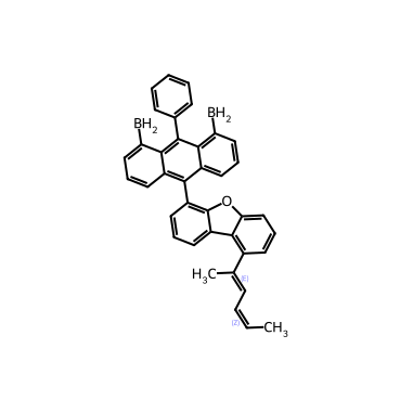 Bc1cccc2c(-c3cccc4c3oc3cccc(/C(C)=C/C=C\C)c34)c3cccc(B)c3c(-c3ccccc3)c12